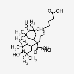 CC1(C)CC(C(CCCCCCCC(=O)O)(C(=O)O)C2CC(C)(C)N(O)C(C)(C)C2)CC(C)(C)N1O.Cl.Cl